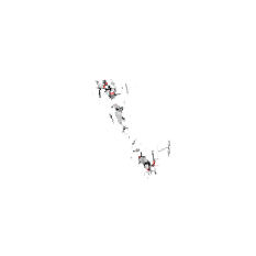 Cc1ccc(-c2nc(-c3ccc(C)cc3C)nc(-c3ccc(OCCOC(=O)Oc4ccc(C(C)(C)c5ccc(OCCOc6ccc(-c7nc(-c8ccc(C)cc8C)nc(-c8ccc(C)cc8C)n7)c(O)c6)cc5)cc4)cc3O)n2)c(C)c1